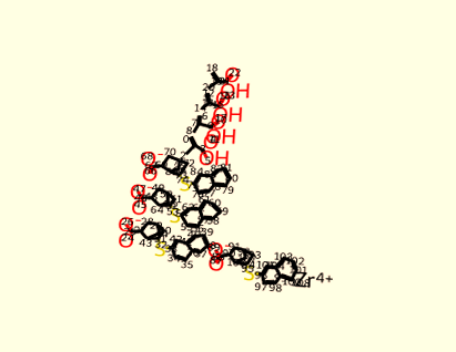 C=C(C)C(=O)O.C=C(C)C(=O)O.C=C(C)C(=O)O.C=C(C)C(=O)O.O=C([O-])C1CC2CC(Sc3ccc4ccccc4c3)C1C2.O=C([O-])C1CC2CC(Sc3ccc4ccccc4c3)C1C2.O=C([O-])C1CC2CC(Sc3ccc4ccccc4c3)C1C2.O=C([O-])C1CC2CC(Sc3ccc4ccccc4c3)C1C2.[Zr+4]